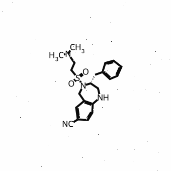 CN(C)CCS(=O)(=O)N1Cc2cc(C#N)ccc2NC[C@H]1Cc1ccccc1